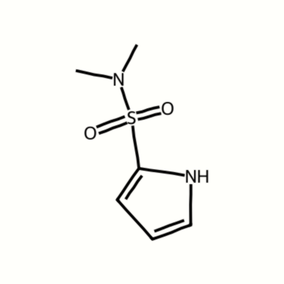 CN(C)S(=O)(=O)c1ccc[nH]1